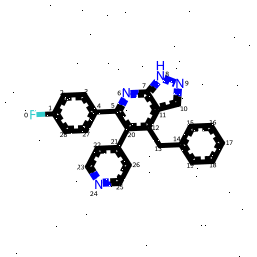 Fc1ccc(-c2nc3[nH]ncc3c(Cc3ccccc3)c2-c2ccncc2)cc1